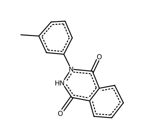 Cc1cccc(-n2[nH]c(=O)c3ccccc3c2=O)c1